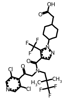 CC(C)(CN(CC(=O)c1c(Cl)cncc1Cl)C(=O)c1cnn(C2CCC(CC(=O)O)CC2)c1C(F)(F)F)C(F)(F)F